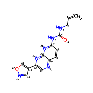 C=CCNC(=O)Nc1ccc2ncc(-c3cnoc3)nc2n1